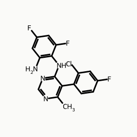 Cc1ncnc(Nc2c(N)cc(F)cc2F)c1-c1ccc(F)cc1Cl